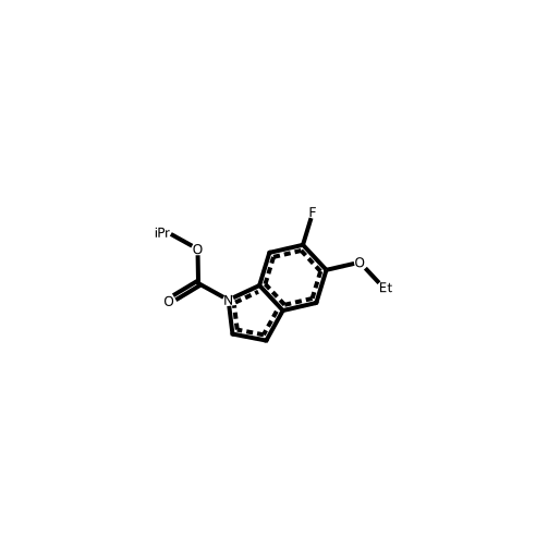 CCOc1cc2ccn(C(=O)OC(C)C)c2cc1F